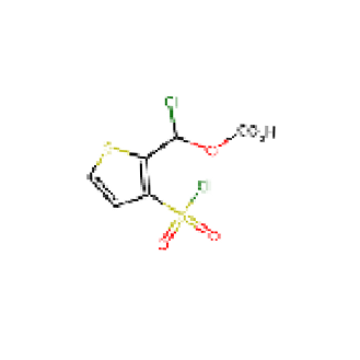 O=C(O)OC(Cl)c1sccc1S(=O)(=O)Cl